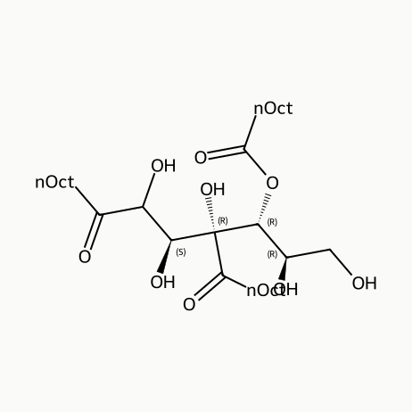 CCCCCCCCC(=O)O[C@H]([C@H](O)CO)[C@@](O)(C(=O)CCCCCCCC)[C@@H](O)C(O)C(=O)CCCCCCCC